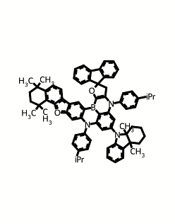 CC(C)c1ccc(N2C3=C(OC4(C3)c3ccccc3-c3ccccc34)B3c4cc5c(cc4N(c4ccc(C(C)C)cc4)c4cc(N6c7ccccc7C7(C)CCCCC67C)cc2c43)oc2c3c(ccc25)C(C)(C)CCC3(C)C)cc1